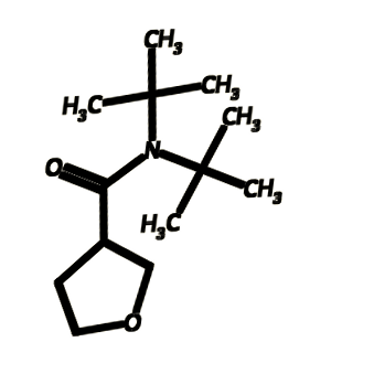 CC(C)(C)N(C(=O)C1CCOC1)C(C)(C)C